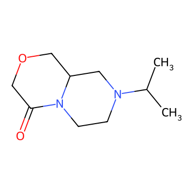 CC(C)N1CCN2C(=O)COCC2C1